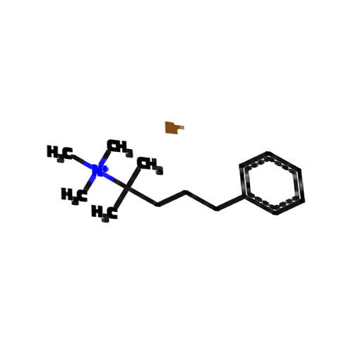 CC(C)(CCCc1ccccc1)[N+](C)(C)C.[Br-]